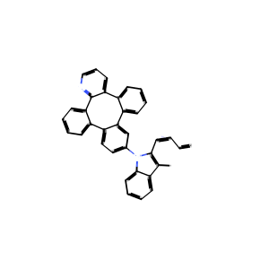 C=C/C=C\c1c(C)c2ccccc2n1-c1ccc2c(c1)-c1ccccc1-c1cccnc1-c1ccccc1-2